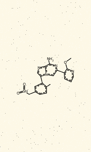 COc1ncccc1-c1cn2c(-c3cc(C[SH](=O)=O)ccc3C)cnc2c(N)n1